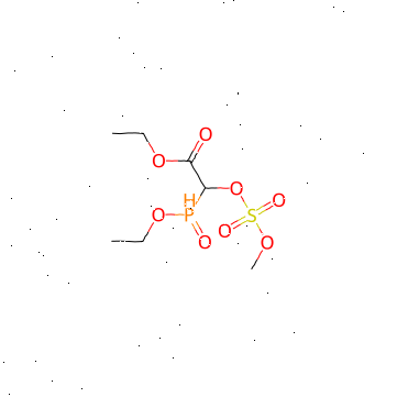 CCOC(=O)C(OS(=O)(=O)OC)[PH](=O)OCC